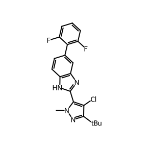 Cn1nc(C(C)(C)C)c(Cl)c1-c1nc2cc(-c3c(F)cccc3F)ccc2[nH]1